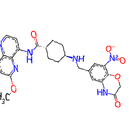 COc1ccc2nccc(NC(=O)[C@H]3CC[C@H](NCc4cc5c(c([N+](=O)[O-])c4)OCC(=O)N5)CC3)c2n1